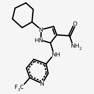 NC(=O)C1=CN(C2CCCCC2)NC1Nc1ccc(C(F)(F)F)nc1